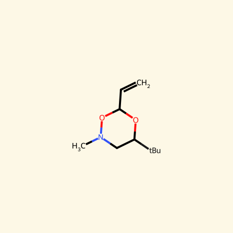 C=CC1OC(C(C)(C)C)CN(C)O1